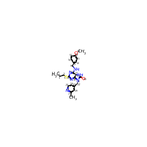 CCCSc1nc(NCc2ccc(OC)cc2)c2[nH]c(=O)n(Cc3ccnc(C)c3)c2n1